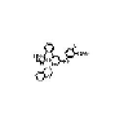 COc1cc(Nc2cc(-c3ccccc3-c3nnn[nH]3)nc(N(Cc3ccccc3)CC(C)C)c2)ccc1Cl